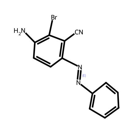 N#Cc1c(/N=N/c2ccccc2)ccc(N)c1Br